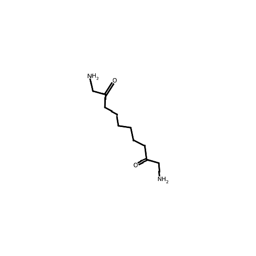 NCC(=O)CCCCCCC(=O)CN